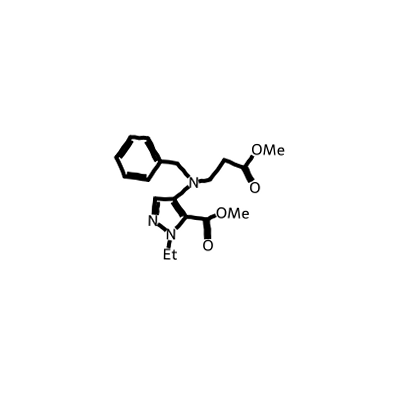 CCn1ncc(N(CCC(=O)OC)Cc2ccccc2)c1C(=O)OC